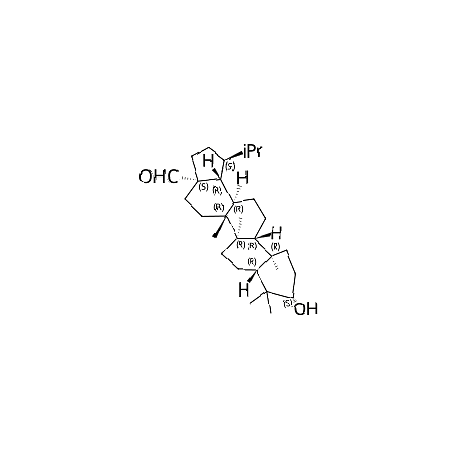 CC(C)[C@@H]1CC[C@]2(C=O)CC[C@]3(C)[C@H](CC[C@@H]4[C@@]5(C)CC[C@H](O)C(C)(C)[C@@H]5CC[C@]43C)[C@@H]12